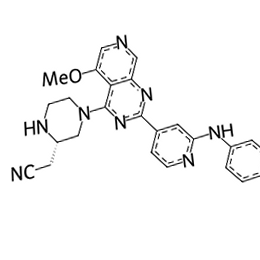 COc1cncc2nc(-c3ccnc(Nc4ccccc4)c3)nc(N3CCN[C@@H](CC#N)C3)c12